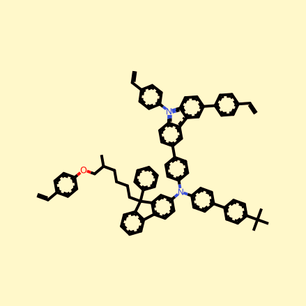 C=Cc1ccc(OCC(C)CCCCC2(c3ccccc3)c3ccccc3-c3ccc(N(c4ccc(-c5ccc(C(C)(C)C)cc5)cc4)c4ccc(-c5ccc6c(c5)c5cc(-c7ccc(C=C)cc7)ccc5n6-c5ccc(C=C)cc5)cc4)cc32)cc1